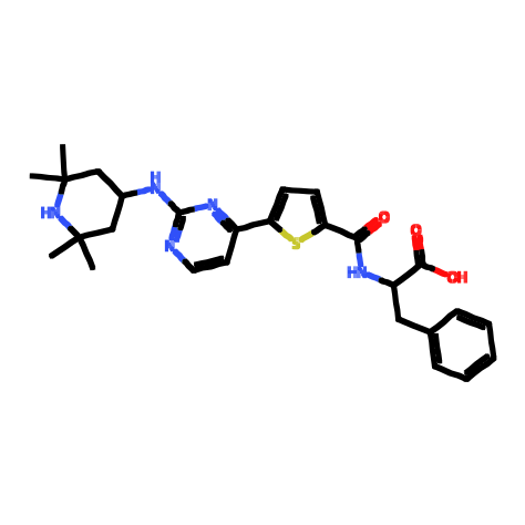 CC1(C)CC(Nc2nccc(-c3ccc(C(=O)NC(Cc4ccccc4)C(=O)O)s3)n2)CC(C)(C)N1